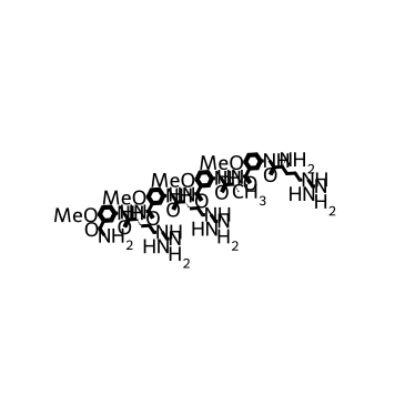 COc1ccc(NC(=O)[C@@H](CCCNC(=N)N)NC(=O)c2cc(NC(=O)[C@@H](CCCNC(=N)N)NC(=O)c3cc(NC(=O)[C@@H](C)NC(=O)c4cc(NC(=O)[C@H](N)CCCNC(=N)N)ccc4OC)ccc3OC)ccc2OC)cc1C(N)=O